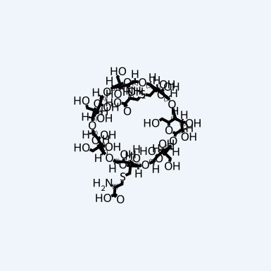 N[C@H](CSCC1O[C@@H]2O[C@@H]3C(CO)OC(O[C@@H]4C(CO)O[C@@H](O[C@@H]5C(CSC[C@@H](N)C(=O)O)O[C@@H](O[C@@H]6C(CO)O[C@H](O[C@@H]7C(CO)O[C@H](O[C@@H]8C(CO)O[C@H](O[C@H]1[C@H](O)C2O)C(O)[C@H]8O)C(O)[C@H]7O)C(O)[C@H]6O)C(O)[C@H]5O)C(O)[C@H]4O)[C@@H](O)[C@H]3O)C(=O)O